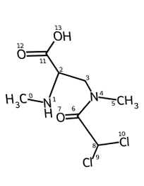 CNC(CN(C)C(=O)C(Cl)Cl)C(=O)O